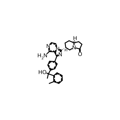 Cc1ccccc1C(C)(O)c1ccc(-c2nc([C@@H]3CC[C@H]4CCC(=O)N4C3)n3ccnc(N)c23)cc1